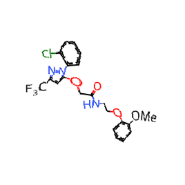 COc1ccccc1OCCNC(=O)COc1cc(C(F)(F)F)nn1-c1ccccc1Cl